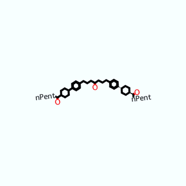 CCCCCC(=O)C1CCC(c2ccc(CCCC(=O)CCCc3ccc([C@H]4CC[C@H](C(=O)CCCCC)CC4)cc3)cc2)CC1